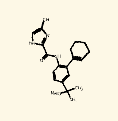 COC(C)(C)c1ccc(NC(=O)c2nc(C#N)c[nH]2)c(C2=CCCCC2)c1